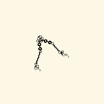 C=CC(=O)OCCCCCCCCOc1ccc(-c2ccc(C(=O)O[C@@H]3OCCO[C@H]3OC(=O)c3ccc(-c4ccc(OCCCCCCCCOC(=O)C=C)cc4)cc3)cc2)cc1